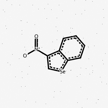 O=[N+]([O-])c1c[se]c2ccccc12